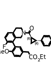 CCOC(=O)Cc1ccc(OC)c(-c2c(F)ccc3c2CN(C(=O)[C@@H]2C[C@H]2c2ccccc2)CC3)c1